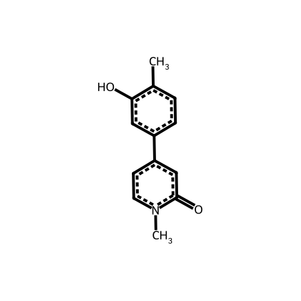 Cc1ccc(-c2ccn(C)c(=O)c2)cc1O